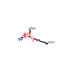 CCCCCCCC/C=C\CCCCCCCC(=O)OC[C@H](COP(=O)([O-])OCC[N+](C)(C)C)OC(=O)CCCCCCCCCCCC